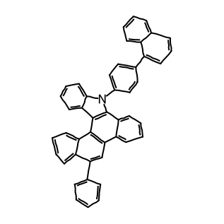 c1ccc(-c2cc3c4ccccc4c4c(c5ccccc5n4-c4ccc(-c5cccc6ccccc56)cc4)c3c3ccccc23)cc1